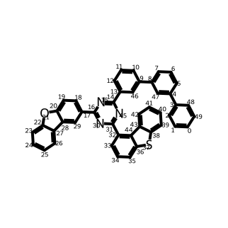 c1ccc(-c2cccc(-c3cccc(-c4nc(-c5ccc6oc7ccccc7c6c5)nc(-c5cccc6sc7ccccc7c56)n4)c3)c2)cc1